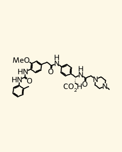 COc1cc(CC(=O)Nc2ccc([C@@H](CC(=O)O)NC(=O)CN3CCN(C)CC3)cc2)ccc1NC(=O)Nc1ccccc1C